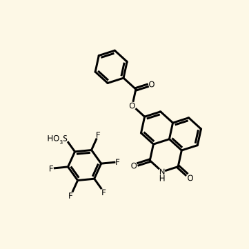 O=C(Oc1cc2c3c(cccc3c1)C(=O)NC2=O)c1ccccc1.O=S(=O)(O)c1c(F)c(F)c(F)c(F)c1F